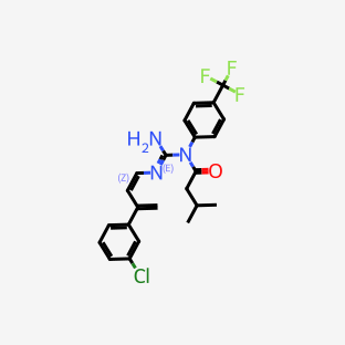 C=C(/C=C\N=C(/N)N(C(=O)CC(C)C)c1ccc(C(F)(F)F)cc1)c1cccc(Cl)c1